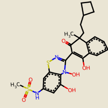 CC1(CCC2CCC2)C(=O)C(C2=NSc3cc(NS(C)(=O)=O)cc(O)c3N2O)=C(O)c2ccccc21